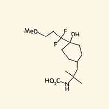 COCCC(F)(F)C1(O)CCC(CC(C)(C)NC(=O)O)CC1